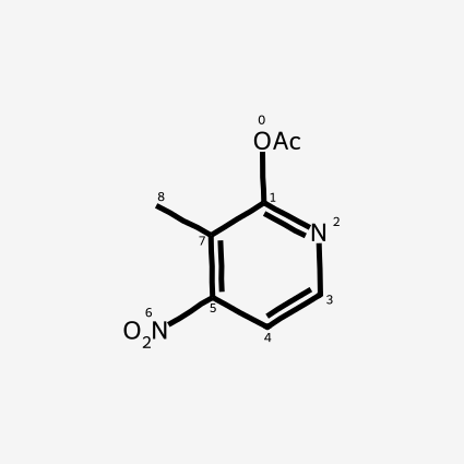 CC(=O)Oc1nccc([N+](=O)[O-])c1C